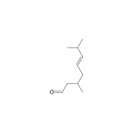 CC(C)C=CCC(C)CC=O